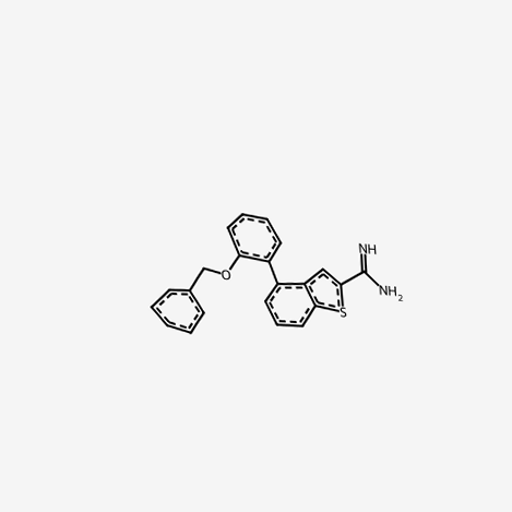 N=C(N)c1cc2c(-c3ccccc3OCc3ccccc3)cccc2s1